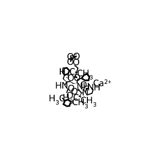 Cc1cccc(C)c1OCC(=O)N[C@@H](Cc1ccccc1)[C@H](C[C@H](Cc1ccccc1)NC(=O)[C@H](C(C)C)N1CCCNC1=O)OC(=O)C(C)(C)CCOP(=O)([O-])[O-].[Ca+2]